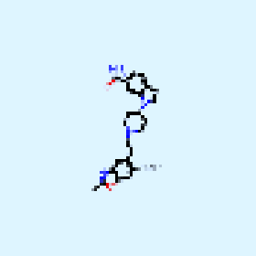 COc1cc2oc(C)nc2cc1CCN1CCC(n2ccc3ccc(C(N)=O)cc32)CC1